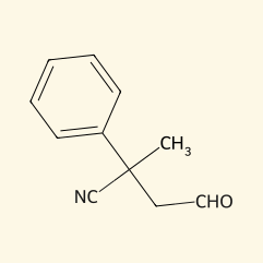 CC(C#N)(CC=O)c1ccccc1